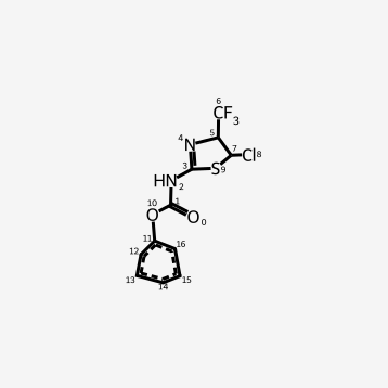 O=C(NC1=NC(C(F)(F)F)C(Cl)S1)Oc1ccccc1